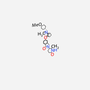 C=C1NC(=O)CCC1N1Cc2cc(O[C@H]3CCC[C@@H]3N(C)C[C@H]3CC[C@H](OC)CC3)ccc2C1=O